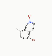 Cc1ccc(Br)c2cc[n+]([O-])cc12